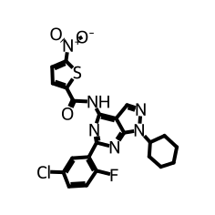 O=C(Nc1nc(-c2cc(Cl)ccc2F)nc2c1cnn2C1CCCCC1)c1ccc([N+](=O)[O-])s1